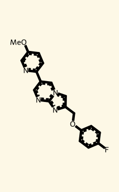 COc1ccc(-c2cnc3nc(COc4ccc(F)cc4)cn3c2)nc1